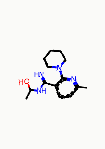 Cc1ccc(C(=N)NC(C)O)c(N2CCCCC2)n1